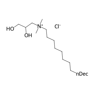 CCCCCCCCCCCCCCCCCC[N+](C)(C)CC(O)CO.[Cl-]